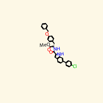 COC(=O)[C@H](Cc1ccc(OCc2ccccc2)cc1)NC(=O)c1cc2ccc(-c3ccc(Cl)cc3)cc2[nH]1